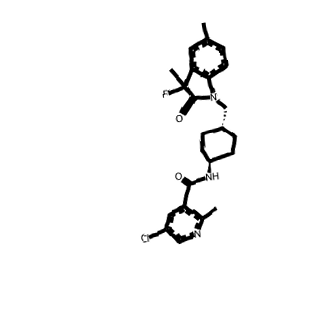 Cc1ccc2c(c1)C(C)(F)C(=O)N2C[C@H]1CC[C@H](NC(=O)c2cc(Cl)cnc2C)CC1